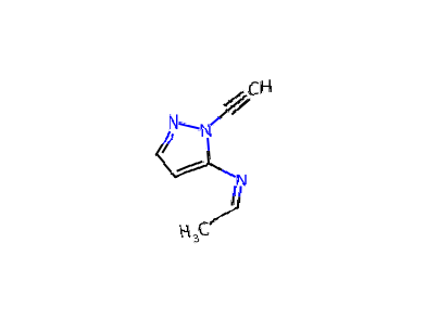 C#Cn1nccc1/N=C\C